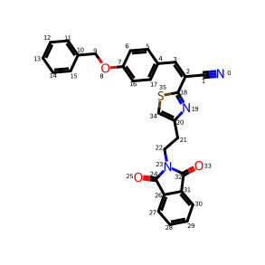 N#C/C(=C/c1ccc(OCc2ccccc2)cc1)c1nc(CCN2C(=O)c3ccccc3C2=O)cs1